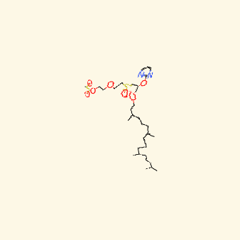 CC(C)CCCC(C)CCCC(C)CCCC(C)CCOCC(C[S+]([O-])CCOCCOS(C)(=O)=O)Oc1ncccn1